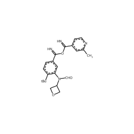 Cc1cc(C(=N)OC(=N)c2ccc(C(C)(C)C)c(N(C=O)C3COC3)c2)ccn1